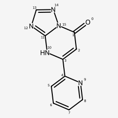 O=c1cc(-c2ccccn2)[nH]c2ncnn12